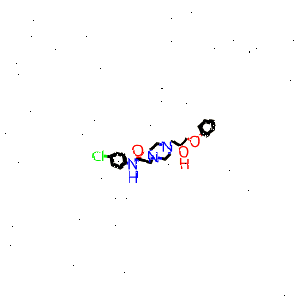 O=C(CN1CCN(CC(O)COc2ccccc2)CC1)Nc1ccc(Cl)cc1